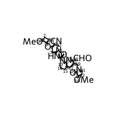 CO[C@H]1CC[C@H]1Oc1cc(NC(=O)N2CCCc3cc(CN4CC[C@@H](OC)C4=O)c(C=O)nc32)ncc1C#N